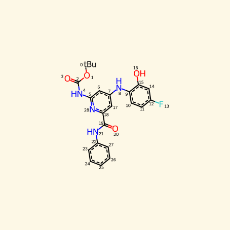 CC(C)(C)OC(=O)Nc1cc(Nc2ccc(F)cc2O)cc(C(=O)Nc2ccccc2)n1